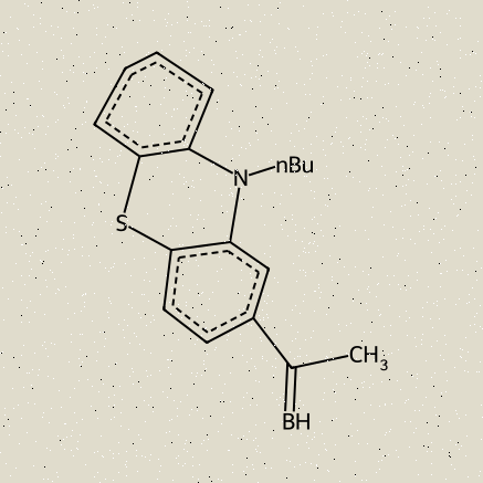 B=C(C)c1ccc2c(c1)N(CCCC)c1ccccc1S2